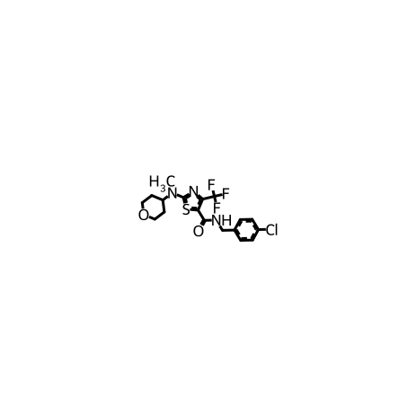 CN(c1nc(C(F)(F)F)c(C(=O)NCc2ccc(Cl)cc2)s1)C1CCOCC1